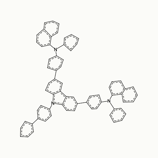 c1ccc(-c2ccc(-n3c4ccc(-c5ccc(N(c6ccccc6)c6cccc7ccccc67)cc5)cc4c4cc(-c5ccc(N(c6ccccc6)c6cccc7ccccc67)cc5)ccc43)cc2)cc1